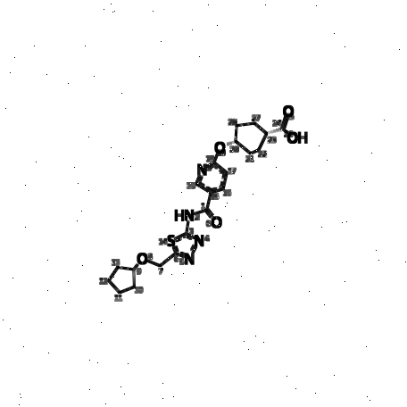 O=C(Nc1nnc(COC2CCCC2)s1)c1ccc(O[C@H]2CC[C@@H](C(=O)O)CC2)nc1